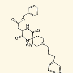 CCCN1C(=O)C(CC(=O)OCc2ccccc2)NC(=O)C12CCN(CCCc1ccccc1)CC2